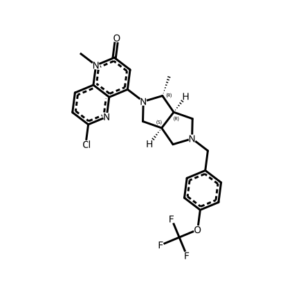 C[C@@H]1[C@H]2CN(Cc3ccc(OC(F)(F)F)cc3)C[C@H]2CN1c1cc(=O)n(C)c2ccc(Cl)nc12